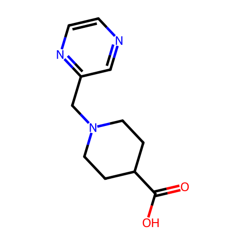 O=C(O)C1CCN(Cc2cnccn2)CC1